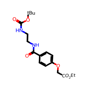 CCOC(=O)COc1ccc(C(=O)NCCNC(=O)OC(C)(C)C)cc1